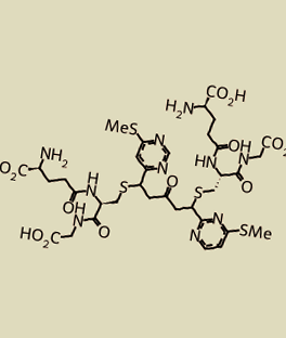 CSc1cc(C(CC(=O)CC(SC[C@H](NC(=O)CC[C@@H](N)C(=O)O)C(=O)NCC(=O)O)c2nccc(SC)n2)SC[C@H](NC(=O)CC[C@H](N)C(=O)O)C(=O)NCC(=O)O)ncn1